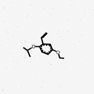 C=Cc1cc(OCC)ccc1OC(C)C